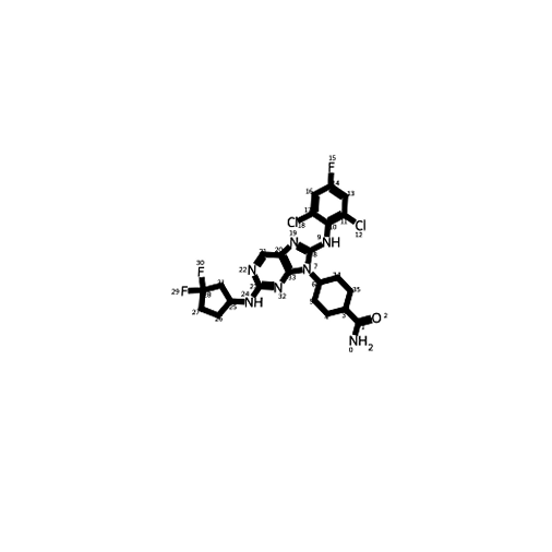 NC(=O)C1CCC(n2c(Nc3c(Cl)cc(F)cc3Cl)nc3cnc(NC4CCC(F)(F)C4)nc32)CC1